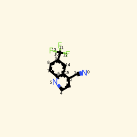 N#Cc1ccnc2ccc(C(F)(F)F)cc12